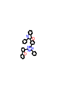 c1ccc(-c2nc(-c3ccc4oc5c6ccccc6nc(-c6ccccc6)c5c4c3)nc(-c3cccc4c3oc3ccccc34)n2)cc1